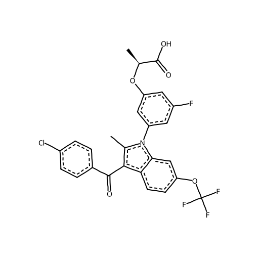 Cc1c(C(=O)c2ccc(Cl)cc2)c2ccc(OC(F)(F)F)cc2n1-c1cc(F)cc(O[C@@H](C)C(=O)O)c1